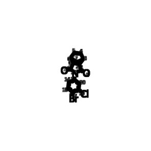 O=C1C2C3C=CC(CC3)C2C(=O)N1c1ccc(Br)c(Cl)c1